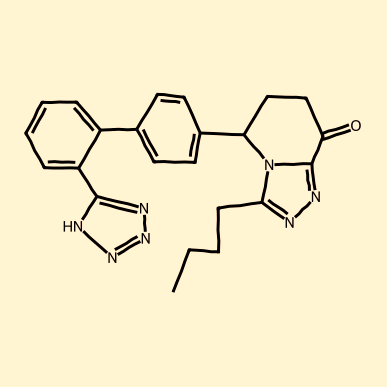 CCCCc1nnc2n1C(c1ccc(-c3ccccc3-c3nnn[nH]3)cc1)CCC2=O